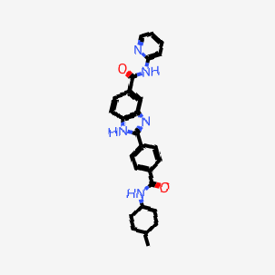 CC1CCC(NC(=O)c2ccc(-c3nc4cc(C(=O)Nc5ccccn5)ccc4[nH]3)cc2)CC1